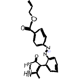 C=CCOC(=O)c1ccc(/N=N/c2ccccc2-c2c(C)[nH][nH]c2=O)cc1